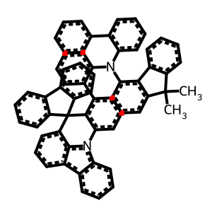 CC1(C)c2ccccc2-c2c(N(c3ccccc3-c3ccccc3)c3ccccc3-c3cccc4c3C3(c5ccccc5-c5ccccc53)c3cccc5c6ccccc6n-4c35)cccc21